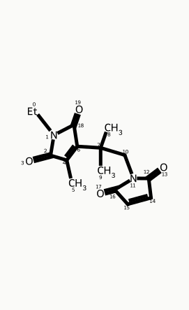 CCN1C(=O)C(C)=C(C(C)(C)CN2C(=O)C=CC2=O)C1=O